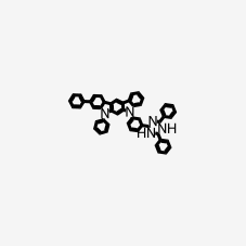 C1=CC(C2=NC(c3ccccc3)NC(c3ccccc3)N2)CC(n2c3ccccc3c3cc4c(cc32)N(c2ccccc2)C2=CC(c3ccccc3)=CCC24)=C1